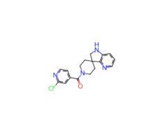 O=C(c1ccnc(Cl)c1)N1CCC2(CC1)CNc1cccnc12